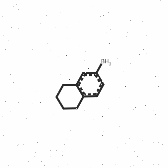 Bc1ccc2c(c1)CCCC2